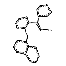 ON=C(c1ccncc1)c1ccccc1Cc1cccc2ccccc12